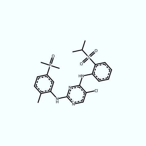 Cc1ccc(P(C)(C)=O)cc1Nc1ncc(Cl)c(Nc2ccccc2S(=O)(=O)C(C)C)n1